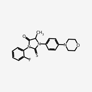 CC1C(=O)N(c2ccccc2F)C(=S)N1c1ccc(N2CCOCC2)cc1